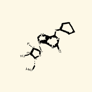 OC[C@H]1O[C@@H](n2cnc3c(SC4CCCC4)nc(Cl)nc32)[C@@H](F)[C@@H]1O